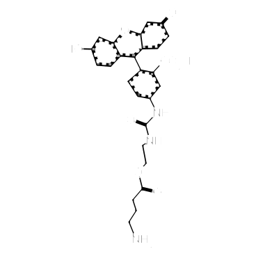 NCCCC(=O)OCCNC(=O)Nc1ccc(-c2c3ccc(=O)cc-3oc3cc(O)ccc23)c(C(=O)O)c1